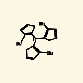 CCC(C)C1=[C]([Pr]([C]2=C(C(C)CC)C=CC2)[C]2=C(C(C)CC)C=CC2)CC=C1